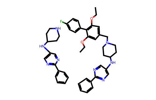 CCOc1cc(CN2CCC(Nc3cnc(-c4ccccc4)nc3)CC2)cc(OCC)c1-c1ccc(F)cc1.c1ccc(-c2ncc(NC3CCNCC3)cn2)cc1